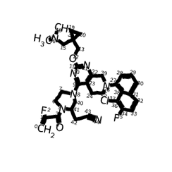 C=C(F)C(=O)N1CCN(c2nc(OCC3(CN(C)C)CC3)nc3c2CCN(c2cccc4ccc(F)c(Cl)c24)C3)CC1CC#N